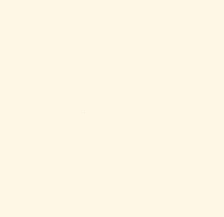 C=C.C=C.C=C.C=C.C=C